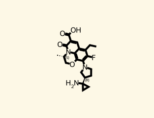 CCc1c(F)c(N2CC[C@@H](C3(N)CC3)C2)c2c3c1cc(C(=O)O)c(=O)n3[C@@H](C)CO2